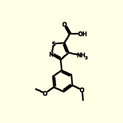 COc1cc(OC)cc(-c2nsc(C(=O)O)c2N)c1